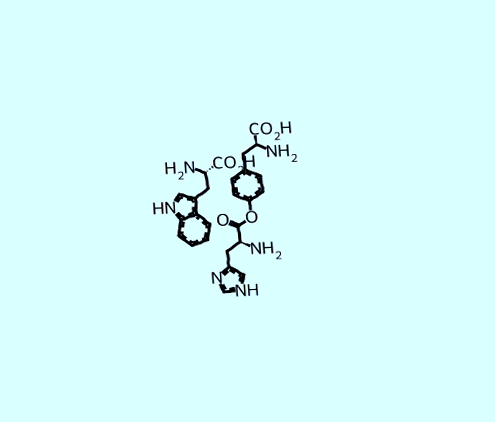 N[C@@H](Cc1c[nH]c2ccccc12)C(=O)O.N[C@@H](Cc1ccc(OC(=O)[C@@H](N)Cc2c[nH]cn2)cc1)C(=O)O